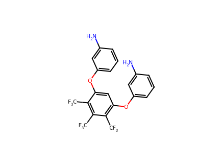 Nc1cccc(Oc2cc(Oc3cccc(N)c3)c(C(F)(F)F)c(C(F)(F)F)c2C(F)(F)F)c1